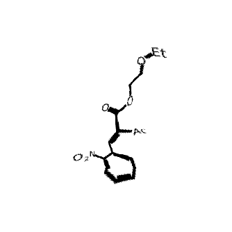 CCOCCOC(=O)/C(=C/c1ccccc1[N+](=O)[O-])C(C)=O